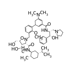 COc1c(CN2O[C@@H](CO)[C@@H]([C@H](C)O)[C@H]2C(=O)N[C@H]2C[C@H](C(C)C)CC[C@@H]2C)cccc1C1C=C(C(=O)N[C@H](CN2CCCC2)[C@H](O)c2ccccc2)C=C(N(C)C)C1